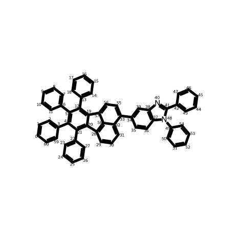 c1ccc(-c2c(-c3ccccc3)c(-c3ccccc3)c3c(c2-c2ccccc2)-c2cccc4c(-c5ccc6c(c5)nc(-c5ccccc5)n6-c5ccccc5)ccc-3c24)cc1